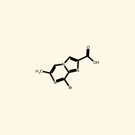 Cc1cn2cc(C(=O)O)nc2c(Br)n1